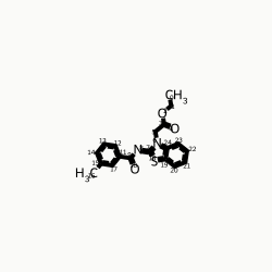 CCOC(=O)Cn1/c(=N/C(=O)c2cccc(C)c2)sc2ccccc21